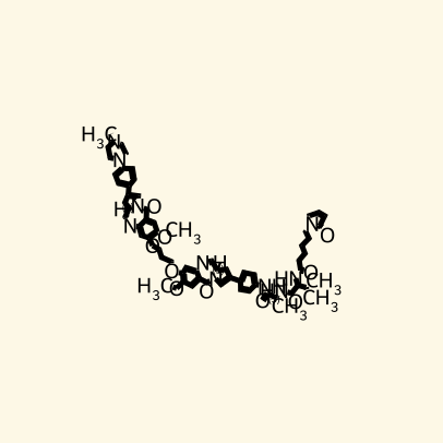 COc1cc2c(cc1OCCCOc1cc3c(cc1OC)C(=O)N1C=C(c4ccc(N5CCN(C)CC5)cc4)C[C@H]1C=N3)N=C[C@@H]1CC(c3ccc(NC(=O)[C@H](C)NC(=O)C(NC(=O)CCCCCN4CC=CC4=O)C(C)C)cc3)=CN1C2=O